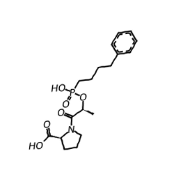 C[C@H](OP(=O)(O)CCCCc1ccccc1)C(=O)N1CCC[C@H]1C(=O)O